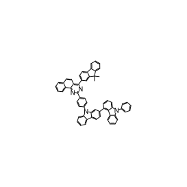 CC1(C)c2ccccc2-c2ccc(-c3nc(-c4ccc(-n5c6ccccc6c6ccc(-c7cccc8c7c7ccccc7n8-c7ccccc7)cc65)cc4)nc4c3ccc3ccccc34)cc21